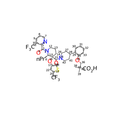 CCC[C@H]1N(C(=O)c2ncccc2C(F)(F)F)CCC[C@@]1(Oc1csc(C(F)(F)F)c1)C(=O)N1CCC(c2ccccc2OCC(C)(C)C(=O)O)CC1